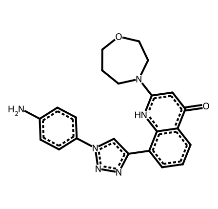 Nc1ccc(-n2cc(-c3cccc4c(=O)cc(N5CCCOCC5)[nH]c34)nn2)cc1